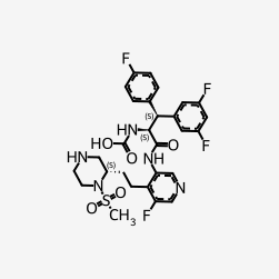 CS(=O)(=O)N1CCNC[C@@H]1CCc1c(F)cncc1NC(=O)[C@@H](NC(=O)O)[C@@H](c1ccc(F)cc1)c1cc(F)cc(F)c1